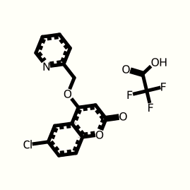 O=C(O)C(F)(F)F.O=c1cc(OCc2ccccn2)c2cc(Cl)ccc2o1